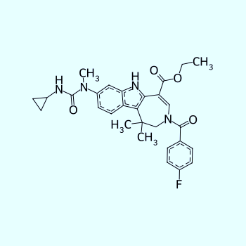 CCOC(=O)C1=CN(C(=O)c2ccc(F)cc2)CC(C)(C)c2c1[nH]c1cc(N(C)C(=O)NC3CC3)ccc21